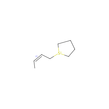 C/C=C\C[S+]1CCCC1